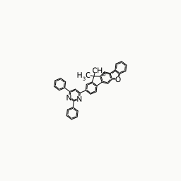 CC1(C)c2cc(-c3cc(-c4ccccc4)nc(-c4ccccc4)n3)ccc2-c2cc3oc4ccccc4c3cc21